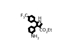 CCOC(=O)c1c[nH]c(-c2ccc(C(F)(F)F)cc2)c1-c1cccc(N)c1